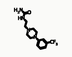 NC(=O)NCCN1CCN(c2cccc(C(F)(F)F)c2)CC1